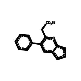 CCOC(=O)Cc1oc2cccc-2cc1-c1ccccc1